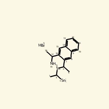 Br.C[CH]([Sn])SC(C)c1cc2ccccc2cc1C(C)N